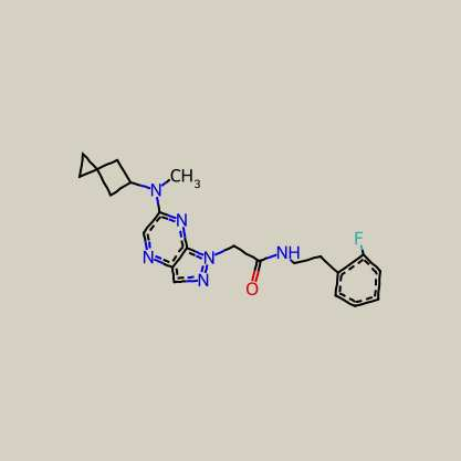 CN(c1cnc2cnn(CC(=O)NCCc3ccccc3F)c2n1)C1CC2(CC2)C1